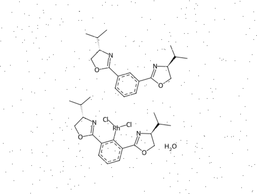 CC(C)[C@H]1COC(c2cccc(C3=N[C@@H](C(C)C)CO3)[c]2[Rh]([Cl])[Cl])=N1.CC(C)[C@H]1COC(c2cccc(C3=N[C@@H](C(C)C)CO3)c2)=N1.O